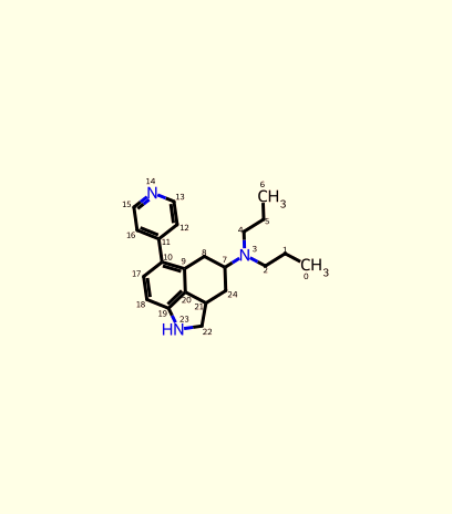 CCCN(CCC)C1Cc2c(-c3ccncc3)ccc3c2C(CN3)C1